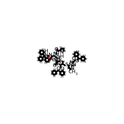 Cc1cc(SCC2=C(C(=O)OC(c3ccccc3)c3ccccc3)N3C(=O)[C@@H](NC(=O)/C(=N\OC(=O)c4ccc[nH]4)c4csc(NC(c5ccccc5)(c5ccccc5)c5ccccc5)n4)[C@H]3SC2)n2nc(C(=O)OC(c3ccccc3)c3ccccc3)nc2n1